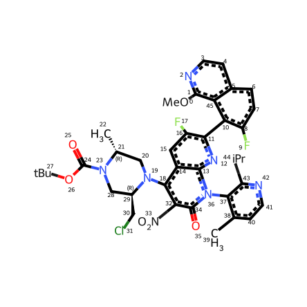 COc1nccc2ccc(F)c(-c3nc4c(cc3F)c(N3C[C@@H](C)N(C(=O)OC(C)(C)C)C[C@@H]3CCl)c([N+](=O)[O-])c(=O)n4-c3c(C)ccnc3C(C)C)c12